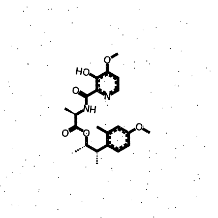 COc1ccc([C@H](C)[C@H](C)OC(=O)[C@@H](C)NC(=O)c2nccc(OC)c2O)c(C)c1